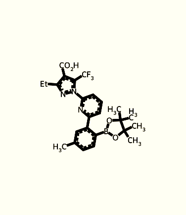 CCc1nn(-c2cccc(-c3cc(C)ccc3B3OC(C)(C)C(C)(C)O3)n2)c(C(F)(F)F)c1C(=O)O